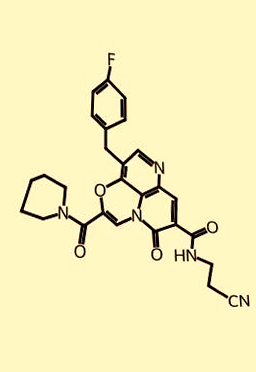 N#CCCNC(=O)c1cc2ncc(Cc3ccc(F)cc3)c3c2n(c1=O)C=C(C(=O)N1CCCCC1)O3